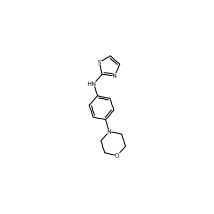 c1csc(Nc2ccc(N3CCOCC3)cc2)n1